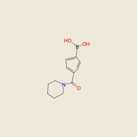 O=C(c1ccc(B(O)O)cc1)N1CCCCC1